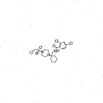 O=C(NCC1(N2CCN(S(=O)(=O)CC3CC3)CC2)CCCCC1)c1ccc(Cl)cc1Cl